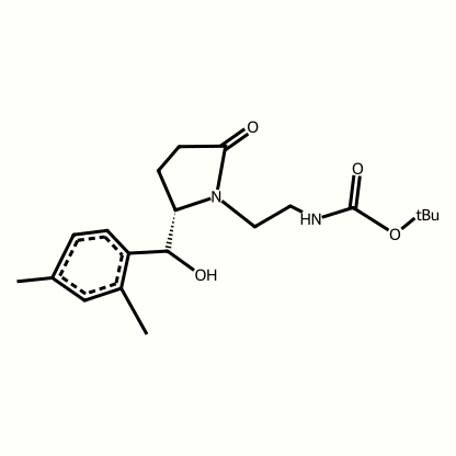 Cc1ccc(C(O)[C@@H]2CCC(=O)N2CCNC(=O)OC(C)(C)C)c(C)c1